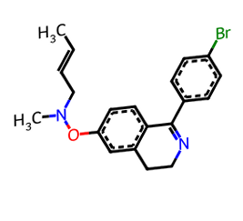 CC=CCN(C)Oc1ccc2c(c1)CCN=C2c1ccc(Br)cc1